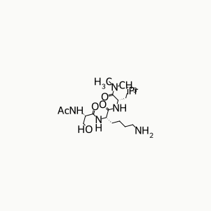 CC(=O)N[C@@H](CO)C(=O)N[C@@H](CCCCN)C(=O)N[C@@H](CC(C)C)C(=O)N(C)C